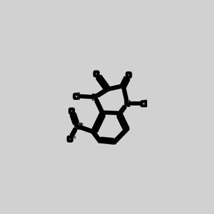 O=c1c(=O)n(Cl)c2c([N+](=O)[O-])cccc2n1Cl